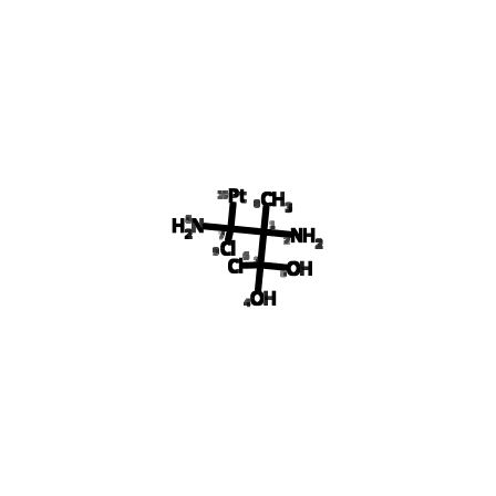 CC(N)(C(O)(O)Cl)[C](N)(Cl)[Pt]